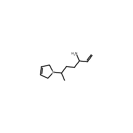 C=CC(N)CCC(C)N1CC=CC1